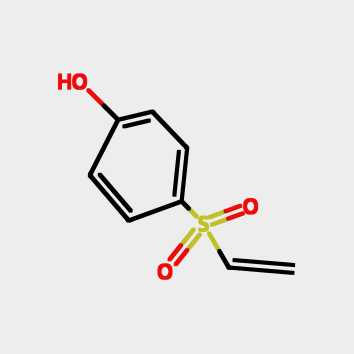 C=CS(=O)(=O)c1ccc(O)cc1